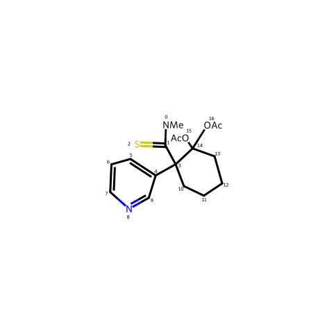 CNC(=S)C1(c2cccnc2)CCCCC1(OC(C)=O)OC(C)=O